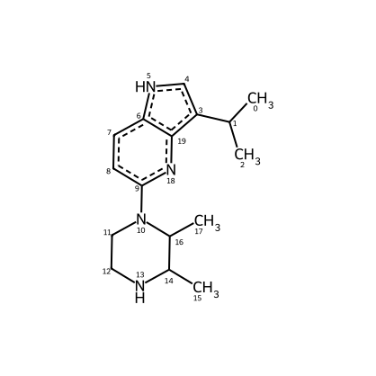 CC(C)c1c[nH]c2ccc(N3CCNC(C)C3C)nc12